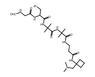 CC(C)CC(NC(=O)CNC=O)C(=O)NC(C)(C)C(=O)NC(C)(C)C(=O)NCCC(=O)NC1(CN(C)C)CCC1